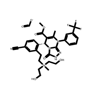 COC(=O)C1=C(C)N(c2cccc(C(F)(F)F)c2)c2n[nH]c(=O)n2[C@@H]1c1ccc(C#N)cc1CC[N+](C)(CCO)CCO.O=C[O-]